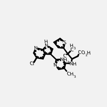 Cc1cnc(-c2c[nH]c3ncc(Cl)cc23)nc1NC(CC(=O)O)C(C)(C)c1cccs1